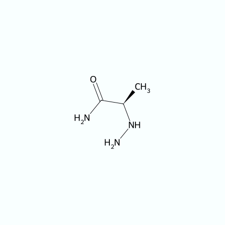 C[C@@H](NN)C(N)=O